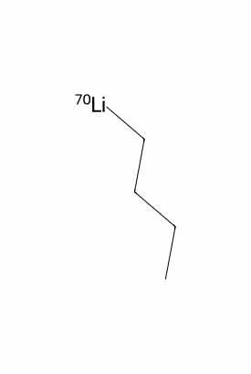 [70Li][CH2]CCC